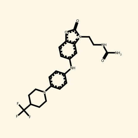 NC(=O)NCCn1c(=O)oc2ccc(Nc3ccc(N4CCC(C(F)(F)F)CC4)cc3)cc21